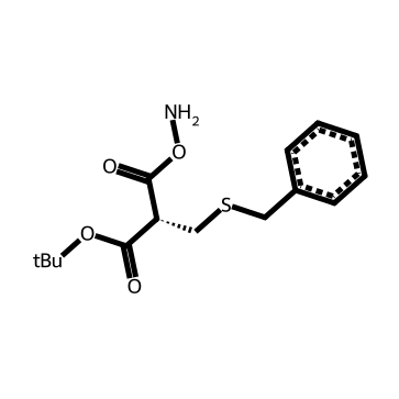 CC(C)(C)OC(=O)[C@@H](CSCc1ccccc1)C(=O)ON